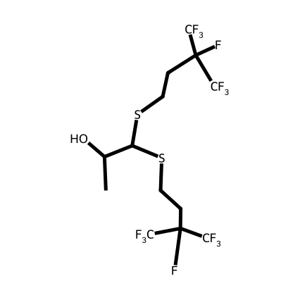 CC(O)C(SCCC(F)(C(F)(F)F)C(F)(F)F)SCCC(F)(C(F)(F)F)C(F)(F)F